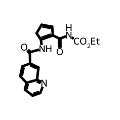 CCOC(=O)NC(=O)C1=C(NC(=O)c2ccc3cccnc3c2)CC=C1